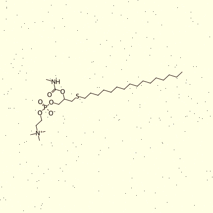 CCCCCCCCCCCCCCCCSCC(COP(=O)([O-])OCC[N+](C)(C)C)OC(=O)NC